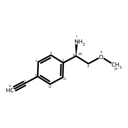 C#Cc1ccc([C@@H](N)COC)cc1